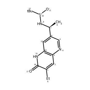 CCc1cc2ncc([C@H](C)N[S+]([O-])C(C)(C)C)cc2[nH]c1=O